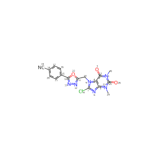 Cn1c(=O)c2c(nc(Cl)n2Cc2nnc(-c3ccc(C#N)cc3)o2)n(C)c1=O